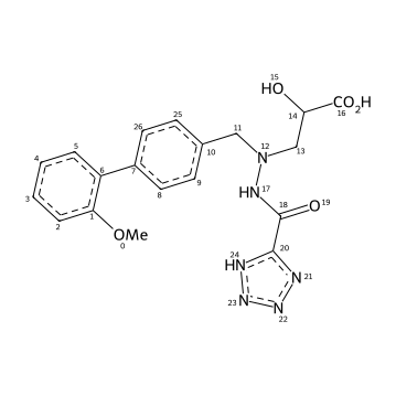 COc1ccccc1-c1ccc(CN(CC(O)C(=O)O)NC(=O)c2nnn[nH]2)cc1